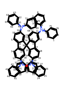 c1ccc(N(c2ccccc2)c2ccc3c(c2)-c2ccc(N(c4ccccc4)c4ccccc4)cc2C32c3cc(N(c4ccccc4)c4ccccc4)ccc3-c3ccc(N(c4ccccc4)c4ccccc4)cc32)cc1